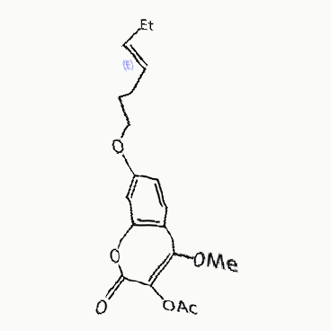 CC/C=C/CCOc1ccc2c(OC)c(OC(C)=O)c(=O)oc2c1